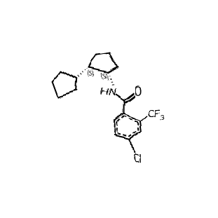 O=C(N[C@H]1CCC[C@H]1C1CCCC1)c1ccc(Cl)cc1C(F)(F)F